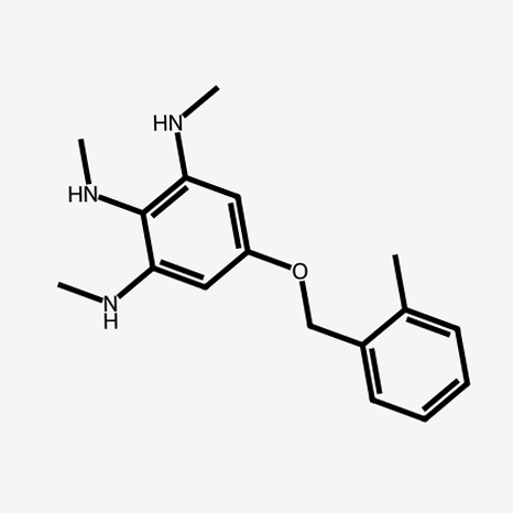 CNc1cc(OCc2ccccc2C)cc(NC)c1NC